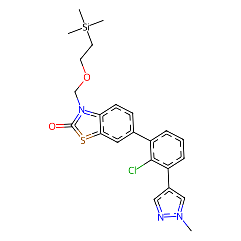 Cn1cc(-c2cccc(-c3ccc4c(c3)sc(=O)n4COCC[Si](C)(C)C)c2Cl)cn1